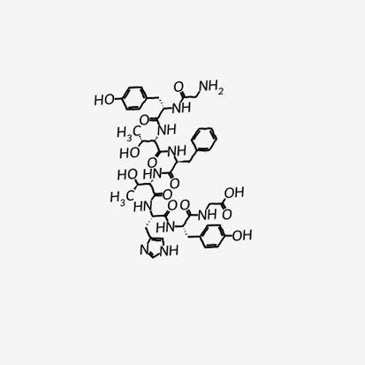 C[C@@H](O)[C@H](NC(=O)[C@H](Cc1ccccc1)NC(=O)[C@@H](NC(=O)[C@H](Cc1ccc(O)cc1)NC(=O)CN)[C@@H](C)O)C(=O)N[C@@H](Cc1c[nH]cn1)C(=O)N[C@@H](Cc1ccc(O)cc1)C(=O)NCC(=O)O